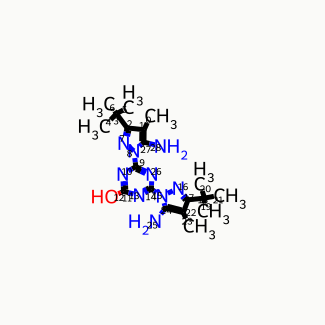 Cc1c(C(C)(C)C)nn(-c2nc(O)nc(-n3nc(C(C)(C)C)c(C)c3N)n2)c1N